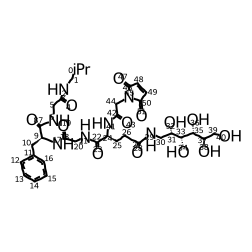 CC(C)CNC(=O)CNC(=O)[C@H](Cc1ccccc1)NC(=O)CNC(=O)[C@H](CCC(=O)NC[C@H](O)[C@@H](O)[C@H](O)[C@H](O)CO)NC(=O)CN1C(=O)C=CC1=O